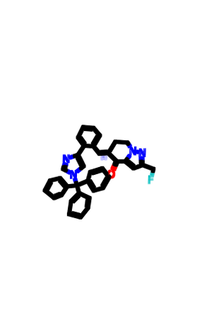 O=C1/C(=C/c2ccccc2-c2cn(C(c3ccccc3)(c3ccccc3)c3ccccc3)cn2)CCn2nc(CF)cc21